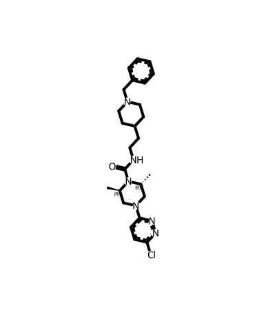 C[C@@H]1CN(c2ccc(Cl)nn2)C[C@@H](C)N1C(=O)NCCC1CCN(Cc2ccccc2)CC1